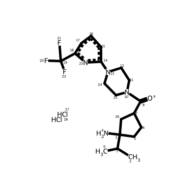 CC(C)C1(N)CCC(C(=O)N2CCN(c3cccc(C(F)(F)F)n3)CC2)C1.Cl.Cl